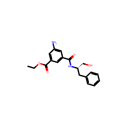 CCOC(=O)c1cc(N)cc(C(=O)N[C@H](CO)Cc2ccccc2)c1